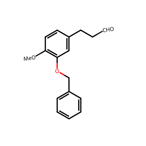 COc1ccc(CCC=O)cc1OCc1ccccc1